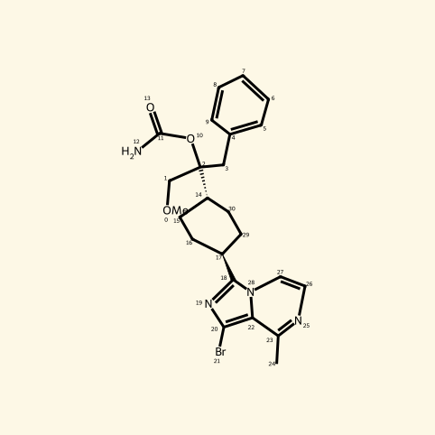 COCC(Cc1ccccc1)(OC(N)=O)[C@H]1CC[C@H](c2nc(Br)c3c(C)nccn32)CC1